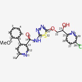 COc1ccccc1-c1cc(C)ncc1C(=O)Nc1nnc(OCC(O)c2ccc(Cl)cn2)s1